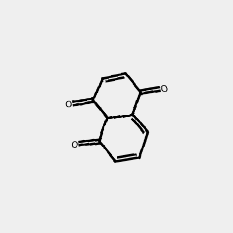 O=C1C=CC(=O)C2C(=O)C=CC=C12